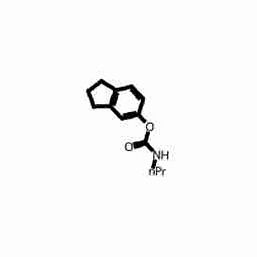 CCCNC(=O)Oc1ccc2c(c1)CCC2